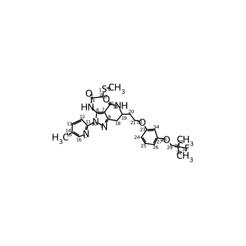 CSCC(=O)Nc1c2c(nn1-c1ccc(C)cn1)CC(CCOc1cccc(OCC(C)(C)F)c1)NC2=O